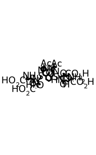 CC(=O)c1cnc(C(SC[C@H](NC(=O)CC[C@@H](N)C(=O)O)C(=O)NCC(=O)O)C2CCCC(C(SC[C@H](NC(=O)CC[C@H](N)C(=O)O)C(=O)NCC(=O)O)c3cnc(C(C)=O)cn3)C2=O)cn1